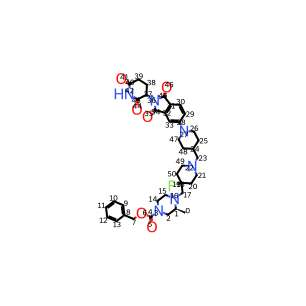 C[C@H]1CN(C(=O)OCc2ccccc2)CCN1CC1(F)CCN(CC2CCN(c3ccc4c(c3)C(=O)N(C3CCC(=O)NC3=O)C4=O)CC2)CC1